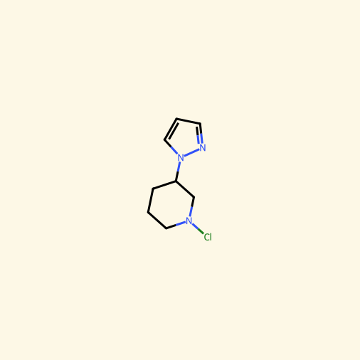 ClN1CCCC(n2cccn2)C1